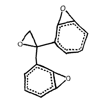 c1cc2c(c(C3(c4cccc5c4O5)CO3)c1)O2